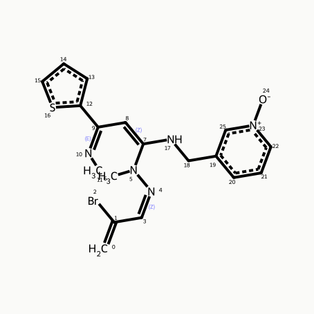 C=C(Br)/C=N\N(C)/C(=C\C(=N/C)c1cccs1)NCc1ccc[n+]([O-])c1